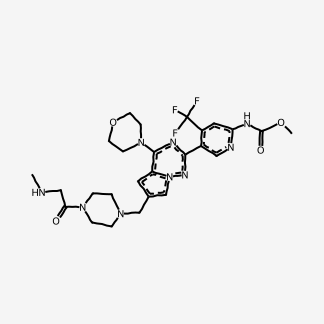 CNCC(=O)N1CCN(Cc2cc3c(N4CCOCC4)nc(-c4cnc(NC(=O)OC)cc4C(F)(F)F)nn3c2)CC1